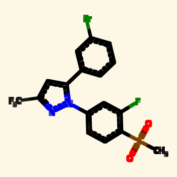 CS(=O)(=O)c1ccc(-n2nc(C(F)(F)F)cc2-c2cccc(Br)c2)cc1F